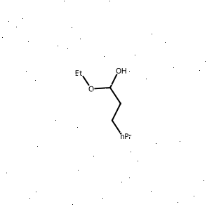 CCCCCC(O)OCC